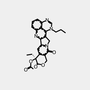 CCCN1C=Nc2cccc3nc4c(c1c23)Cn1c-4cc2c(c1=O)COC(=O)[C@@]2(CC)OC(C)=O